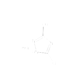 Cc1n[nH]c(Cl)n1.Cl